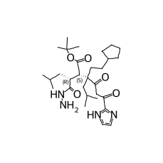 CC(C)C[C@@H](C(=O)NN)[C@H](C(=O)OC(C)(C)C)C(CCC1CCCC1)(CC(C)C)C(=O)CC(=O)c1ncc[nH]1